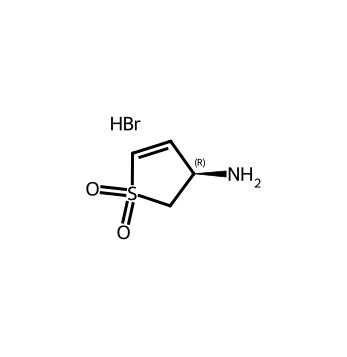 Br.N[C@@H]1C=CS(=O)(=O)C1